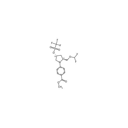 COC(=O)c1ccc(N2C[C@H](OS(=O)(=O)C(F)(F)F)C[C@H]2COC(F)F)cc1